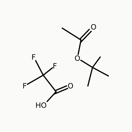 CC(=O)OC(C)(C)C.O=C(O)C(F)(F)F